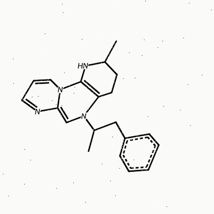 CC1CCC2=C(N1)N1C=CC=NC1=CN2C(C)Cc1ccccc1